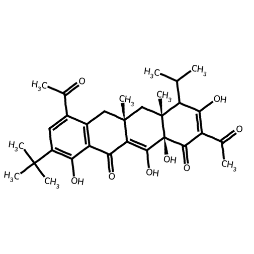 CC(=O)C1=C(O)C(C(C)C)[C@@]2(C)C[C@@]3(C)Cc4c(C(C)=O)cc(C(C)(C)C)c(O)c4C(=O)C3=C(O)[C@@]2(O)C1=O